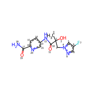 CC(O)(Cn1cc(F)cn1)C(=O)Nc1ccc(C(N)=O)nc1